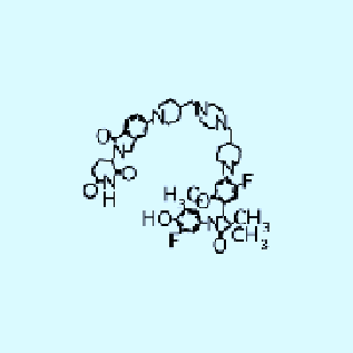 COc1cc(N2CCC(CN3CCN(CC4CCN(c5ccc6c(c5)CN(C5CCC(=O)NC5=O)C6=O)CC4)CC3)CC2)c(F)cc1[C@@H]1N(c2ccc(O)c(F)c2)C(=O)C1(C)C